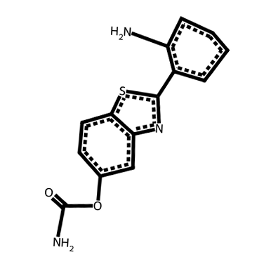 NC(=O)Oc1ccc2sc(-c3ccccc3N)nc2c1